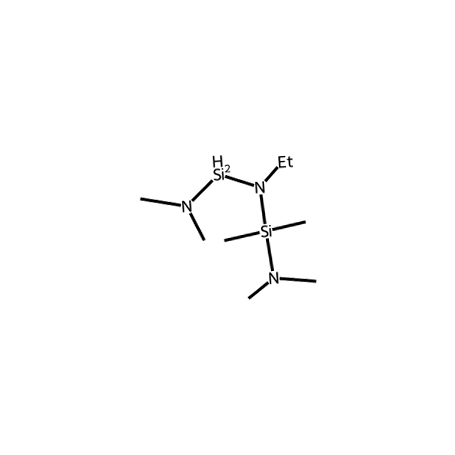 CCN([SiH2]N(C)C)[Si](C)(C)N(C)C